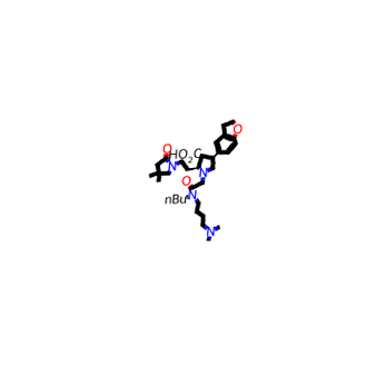 CCCCN(CCCCN(C)C)C(=O)CN1C[C@H](c2ccc3c(c2)CCO3)[C@@H](C(=O)O)[C@@H]1CCN1CC(C)(C)CC1=O